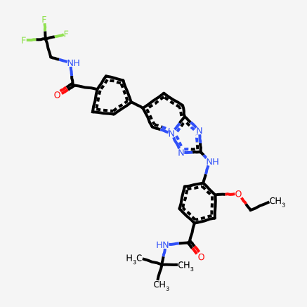 CCOc1cc(C(=O)NC(C)(C)C)ccc1Nc1nc2ccc(-c3ccc(C(=O)NCC(F)(F)F)cc3)cn2n1